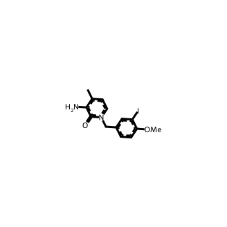 COc1ccc(Cn2ccc(C)c(N)c2=O)cc1I